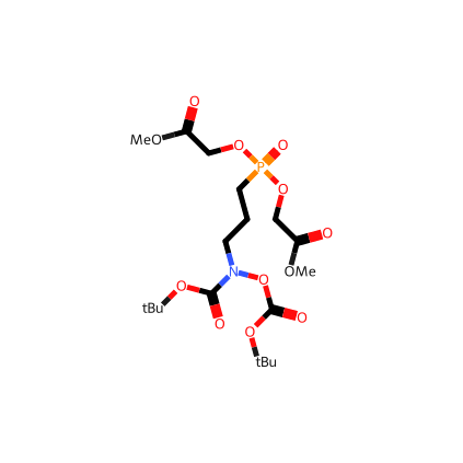 COC(=O)COP(=O)(CCCN(OC(=O)OC(C)(C)C)C(=O)OC(C)(C)C)OCC(=O)OC